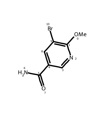 COc1ncc(C(N)=O)cc1Br